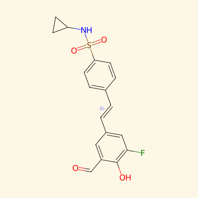 O=Cc1cc(/C=C/c2ccc(S(=O)(=O)NC3CC3)cc2)cc(F)c1O